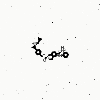 Nc1ccccc1NC(=O)c1ccc2c(c1)CCN(C(=O)OCc1ccc(C3C[C@@H]3NCC3CC3)cc1)C2